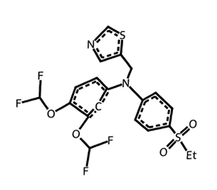 CCS(=O)(=O)c1ccc(N(Cc2cncs2)c2ccc(OC(F)F)c(OC(F)F)c2)cc1